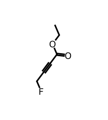 CCOC(=O)C#CCF